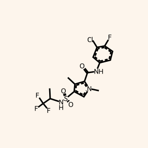 Cc1c(S(=O)(=O)NC(C)C(F)(F)F)cn(C)c1C(=O)Nc1ccc(F)c(Cl)c1